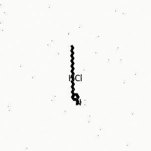 CCCCCCCCCCCCCCCCCCCc1ccc(N(C)C)cc1.Cl